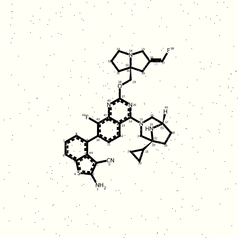 N#Cc1c(N)sc2cccc(-c3ccc4c(N5C[C@@H]6CC[C@](C7CC7)(C5)N6)nc(OC[C@@]56CCCN5C/C(=C\F)C6)nc4c3F)c12